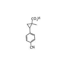 CC1(C(=O)O)CC1c1ccc(C#N)cc1